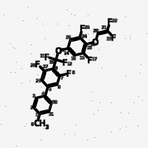 Cc1ccc(-c2cc(F)c(C(F)(F)Oc3cc(F)c(OC=C(F)F)c(F)c3)c(F)c2)cc1